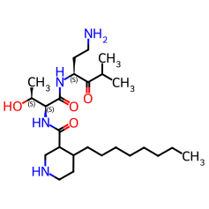 CCCCCCCCC1CCNCC1C(=O)N[C@H](C(=O)N[C@@H](CCN)C(=O)C(C)C)[C@H](C)O